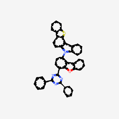 c1ccc(-c2nc(-c3ccccc3)nc(-c3ccc(-n4c5ccccc5c5c6sc7ccccc7c6ccc54)c4c3oc3ccccc34)n2)cc1